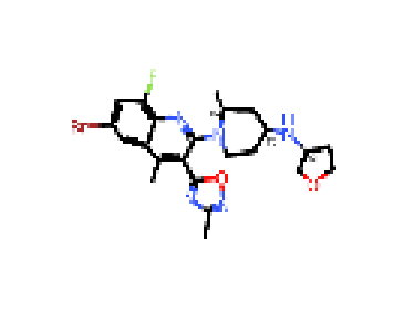 Cc1noc(-c2c(N3CC[C@H](N[C@H]4CCOC4)C[C@@H]3C)nc3c(F)cc(Br)cc3c2C)n1